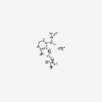 CC(C)c1cccc(C(C)C2CC2)c1OCOP(=O)([O-])[O-].[K+].[K+]